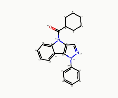 O=C(C1CCCCC1)n1c2ccccc2c2c1cnn2-c1ccccc1